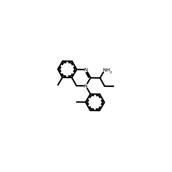 CCC(N)C1=Nc2cccc(C)c2CN1c1ccccc1C